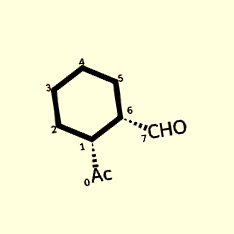 CC(=O)[C@@H]1CCCC[C@@H]1C=O